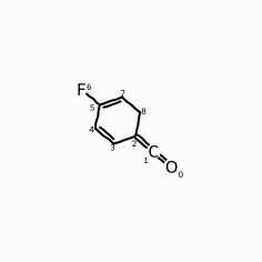 O=C=C1C=CC(F)=CC1